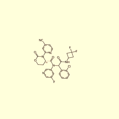 N#Cc1ccnc(N2C(=O)OCC[C@H]2C(=O)N(c2cncc(F)c2)C(C(=O)NC2CC(F)(F)C2)c2ccccc2Cl)c1